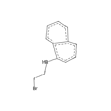 BrCCBc1cccc2ccccc12